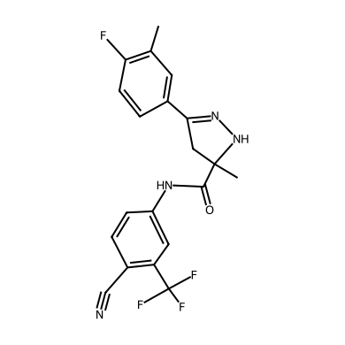 Cc1cc(C2=NNC(C)(C(=O)Nc3ccc(C#N)c(C(F)(F)F)c3)C2)ccc1F